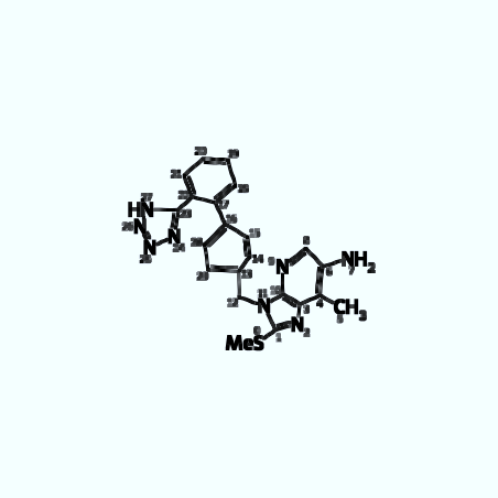 CSc1nc2c(C)c(N)cnc2n1Cc1ccc(-c2ccccc2-c2nnn[nH]2)cc1